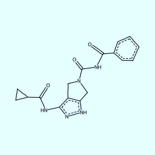 O=C(NC(=O)N1Cc2[nH]nc(NC(=O)C3CC3)c2C1)c1ccccc1